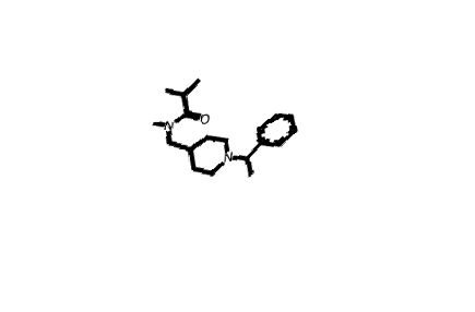 CC(C)C(=O)N(C)CC1CCN(C(C)c2ccccc2)CC1